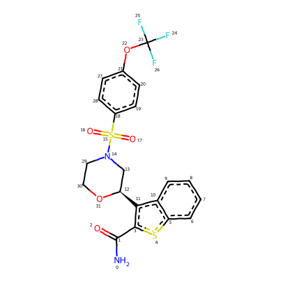 NC(=O)c1sc2ccccc2c1[C@@H]1CN(S(=O)(=O)c2ccc(OC(F)(F)F)cc2)CCO1